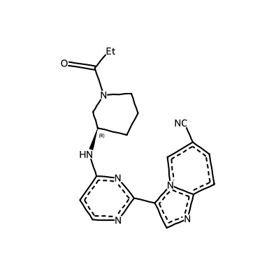 CCC(=O)N1CCC[C@@H](Nc2ccnc(-c3cnc4ccc(C#N)cn34)n2)C1